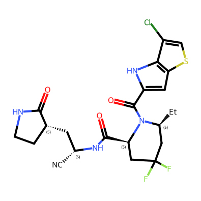 CC[C@H]1CC(F)(F)C[C@@H](C(=O)N[C@H](C#N)C[C@@H]2CCNC2=O)N1C(=O)c1cc2scc(Cl)c2[nH]1